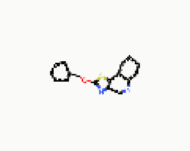 c1ccc(COc2nc3cnc4ccccc4c3s2)cc1